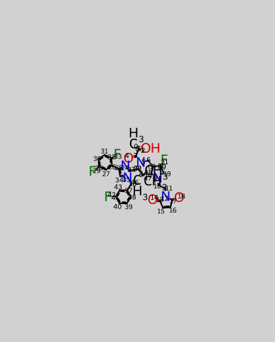 C[C@H](O)C(=O)N(C[C@@H]1CN(CCN2C(=O)C=CC2=O)C[C@@H]1F)[C@@H](c1nc(-c2cc(F)ccc2F)cn1Cc1cccc(F)c1)C(C)(C)C